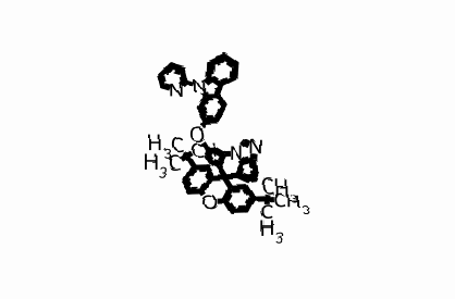 CC(C)(C)c1ccc2c(c1)C1(c3cc(C(C)(C)C)ccc3O2)c2ccc(Oc3ccc4c5ccccc5n(-c5ccccn5)c4c3)cc2-n2cnc3cccc1c32